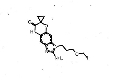 Nc1nc2cc3c(cc2n1CCCOCI)OC1(CC1)C(=O)N3